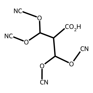 N#COC(OC#N)C(C(=O)O)C(OC#N)OC#N